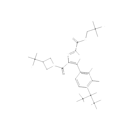 CC(C)(O)CNC(=O)c1nc(C(=O)N2CC(C(F)(F)F)C2)c(-c2ccc(C(O)(C(F)(F)F)C(F)(F)F)c(Cl)c2Cl)s1